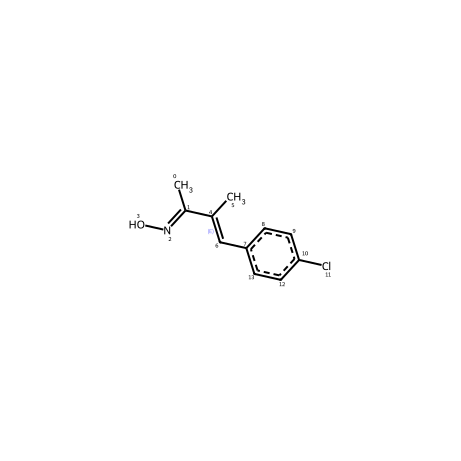 CC(=NO)/C(C)=C/c1ccc(Cl)cc1